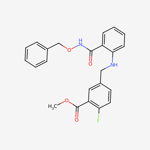 COC(=O)c1cc(CNc2ccccc2C(=O)NOCc2ccccc2)ccc1F